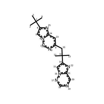 CC(C)(C)c1cn2nnc(CC(C)(C)c3cn4ncncc4n3)cc2n1